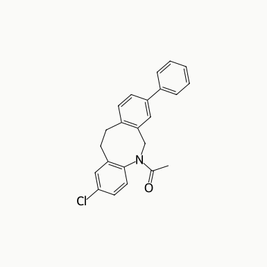 CC(=O)N1Cc2cc(-c3ccccc3)ccc2CCc2cc(Cl)ccc21